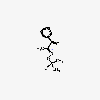 C/C(=N\O[Si](C)(C)C)C(=O)c1ccccc1